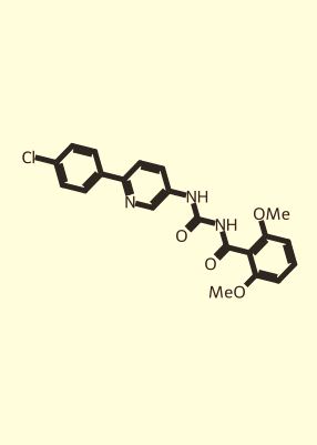 COc1cccc(OC)c1C(=O)NC(=O)Nc1ccc(-c2ccc(Cl)cc2)nc1